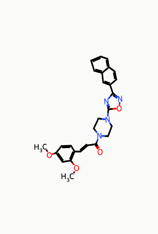 COc1ccc(/C=C/C(=O)N2CCN(c3nc(-c4ccc5ccccc5c4)no3)CC2)c(OC)c1